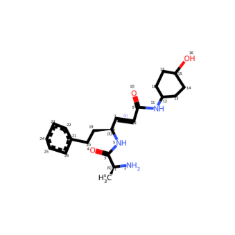 C[C@H](N)C(=O)N[C@H](/C=C/C(=O)NC1CCC(O)CC1)CCc1ccccc1